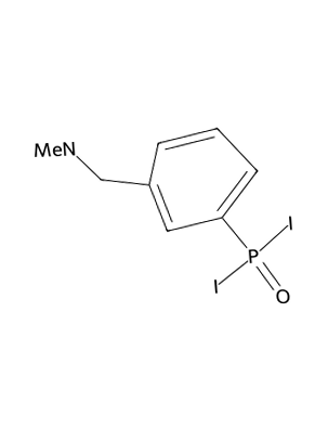 CNCc1cccc(P(=O)(I)I)c1